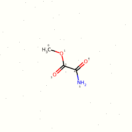 COC(=O)C(N)=O